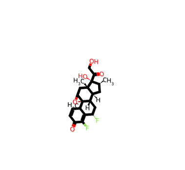 C[C@@H]1C[C@H]2[C@@H]3C[C@H](F)C4=C(F)C(=O)C=C[C@]4(C)[C@]34OC4C[C@]2(C)[C@@]1(O)C(=O)CO